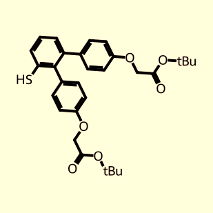 CC(C)(C)OC(=O)COc1ccc(-c2cccc(S)c2-c2ccc(OCC(=O)OC(C)(C)C)cc2)cc1